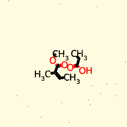 CC=C(C)C(=O)OC.CCC(=O)O